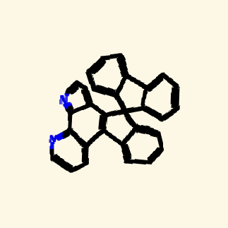 c1ccc2c(c1)-c1ccccc1C21c2ccccc2-c2c1c1cccnc1c1ncccc21